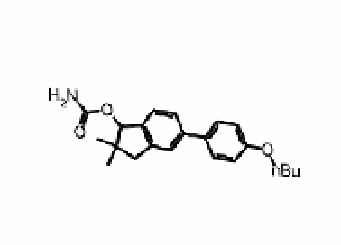 CCCCOc1ccc(-c2ccc3c(c2)CC(C)(C)C3OC(N)=O)cc1